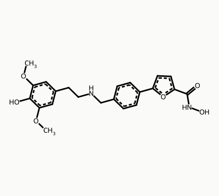 COc1cc(CCNCc2ccc(-c3ccc(C(=O)NO)o3)cc2)cc(OC)c1O